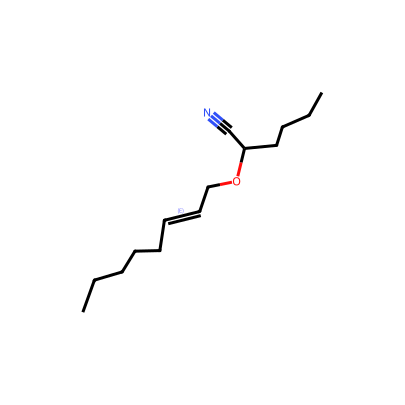 CCCCC/C=C/COC(C#N)CCCC